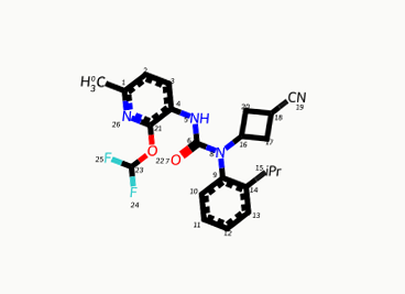 Cc1ccc(NC(=O)N(c2ccccc2C(C)C)C2CC(C#N)C2)c(OC(F)F)n1